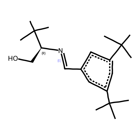 CC(C)(C)c1cc(/C=N/[C@@H](CO)C(C)(C)C)cc(C(C)(C)C)c1